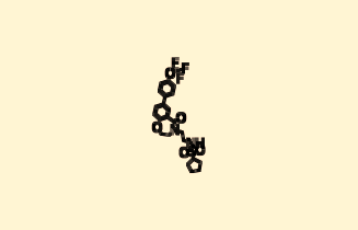 O=C1c2cc(-c3ccc(OC(F)(F)F)cc3)ccc2OCCN1CCNS(=O)(=O)C1CCCC1